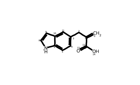 C=C(Cc1ccc2[nH]ccc2c1)C(=O)O